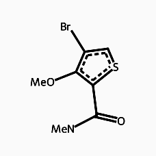 CNC(=O)c1scc(Br)c1OC